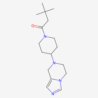 CC(C)(C)CC(=O)N1CCC(N2CCn3cncc3C2)CC1